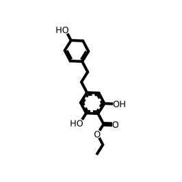 CCOC(=O)c1c(O)cc(CCC2=CCC(O)C=C2)cc1O